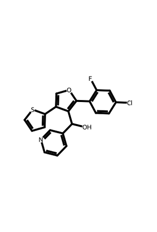 OC(c1cccnc1)c1c(-c2cccs2)coc1-c1ccc(Cl)cc1F